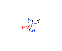 Cc1ccc2c(c1)c1c(n2CC(C)(O)c2ccnnc2)CCN(C)C1